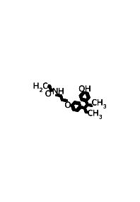 C=CC(=O)NCCCCOc1ccc(C(CC)C(CC)c2ccc(O)cc2)cc1